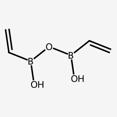 C=CB(O)OB(O)C=C